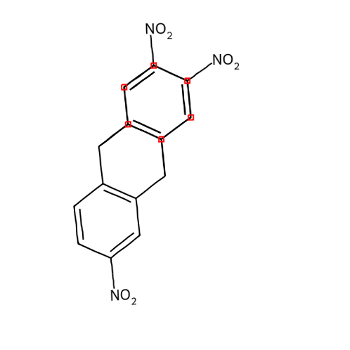 O=[N+]([O-])c1ccc2c(c1)C1c3ccc([N+](=O)[O-])cc3C2c2cc([N+](=O)[O-])ccc21